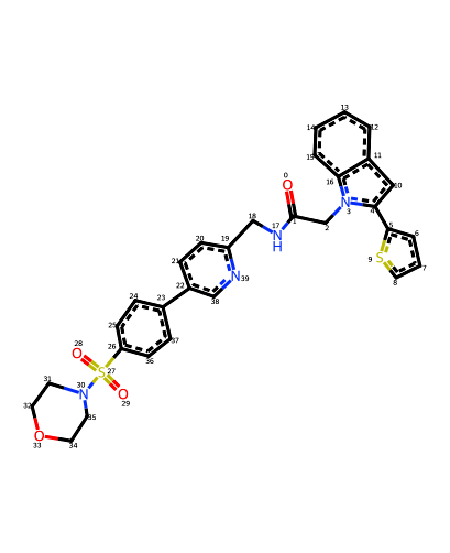 O=C(Cn1c(-c2cccs2)cc2ccccc21)NCc1ccc(-c2ccc(S(=O)(=O)N3CCOCC3)cc2)cn1